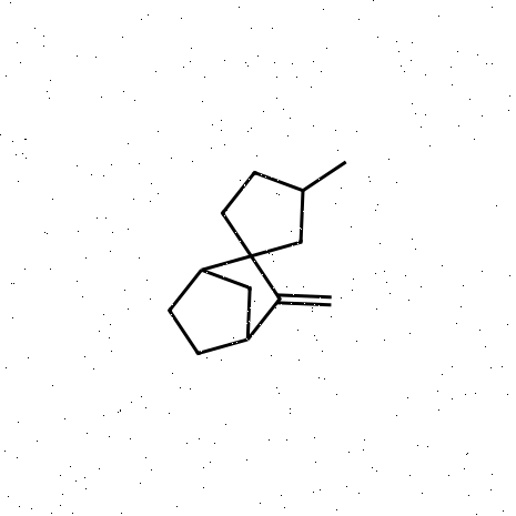 C=C1C2CCC(C2)C12CCC(C)C2